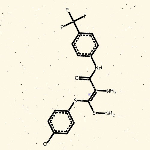 NS/C(Sc1ccc(Cl)cc1)=C(\N)C(=O)Nc1ccc(C(F)(F)F)cc1